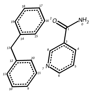 NC(=O)c1cccnc1.c1ccc(Cc2ccccc2)cc1